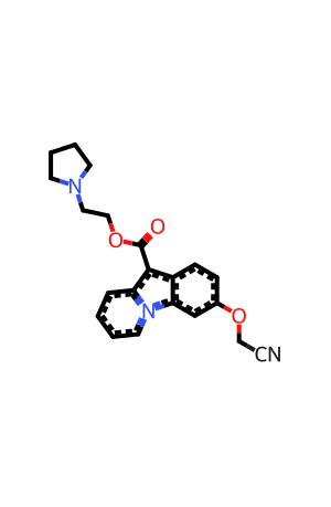 N#CCOc1ccc2c(C(=O)OCCN3CCCC3)c3ccccn3c2c1